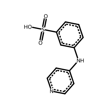 O=S(=O)(O)c1cccc(Nc2ccncc2)c1